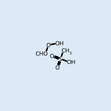 CS(=O)(=O)O.O=COO